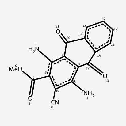 COC(=O)c1c(N)c2c(c(N)c1C#N)C(=O)c1ccccc1C2=O